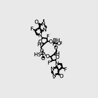 BP1(=O)OC[C@H]2O[C@@H](n3cc(F)c4c(=O)n(C)cnc43)C(F)C2OP(=O)(S)OC[C@H]2O[C@@H](n3cc(F)c4c(=O)n(C)cnc43)C(F)C2O1